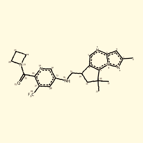 Cc1cc2ncc3c(n2n1)C(C)(C)CC3CNc1cnc(C(=O)N2CCC2)c(C(F)(F)F)c1